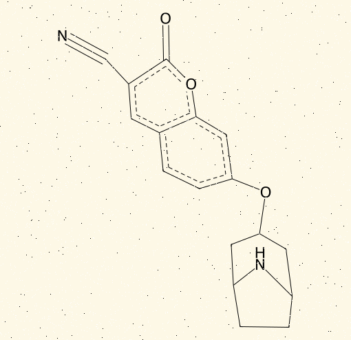 N#Cc1cc2ccc(OC3CC4CCC(C3)N4)cc2oc1=O